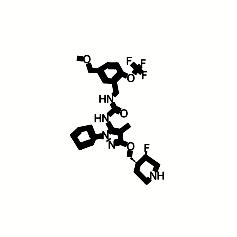 COCc1ccc(OC(F)(F)F)c(CNC(=O)Nc2c(C)c(OC[C@H]3CCNC[C@H]3F)nn2-c2ccccc2)c1